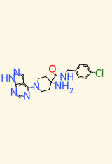 NC1(C(=O)NCc2ccc(Cl)cc2)CCN(c2ncnc3[nH]ncc23)CC1